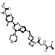 C=C(F)C(=O)NCC(=O)N1CCC12CN(Cc1cc3c(N4CCOCC4)nc(-c4cnc(NC(=O)OC)cc4C)nn3c1)C2